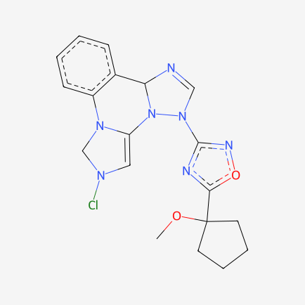 COC1(c2nc(N3C=NC4c5ccccc5N5CN(Cl)C=C5N43)no2)CCCC1